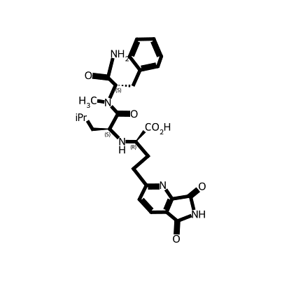 CC(C)C[C@H](N[C@H](CCc1ccc2c(n1)C(=O)NC2=O)C(=O)O)C(=O)N(C)[C@@H](Cc1ccccc1)C(N)=O